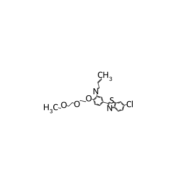 C/C=C/C=Nc1cc(-c2nc3ccc(Cl)cc3s2)ccc1OCCOCCOCC